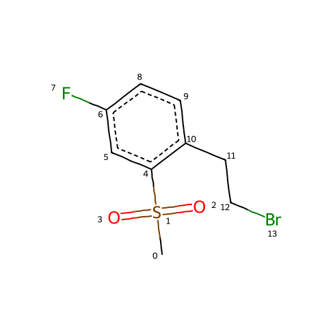 CS(=O)(=O)c1cc(F)ccc1CCBr